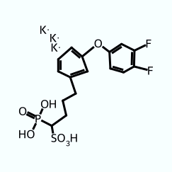 O=P(O)(O)C(CCCc1cccc(Oc2ccc(F)c(F)c2)c1)S(=O)(=O)O.[K].[K].[K]